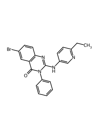 CCc1ccc(Nc2nc3ccc(Br)cc3c(=O)n2-c2ccccc2)cn1